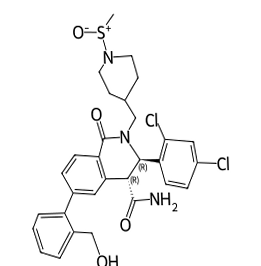 C[S+]([O-])N1CCC(CN2C(=O)c3ccc(-c4ccccc4CO)cc3[C@@H](C(N)=O)[C@@H]2c2ccc(Cl)cc2Cl)CC1